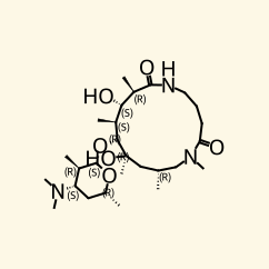 C[C@H]1CN(C)C(=O)CCCNC(=O)[C@H](C)[C@@H](O)[C@H](C)[C@@H](O[C@@H]2O[C@H](C)C[C@H](N(C)C)[C@H]2C)[C@](C)(O)C1